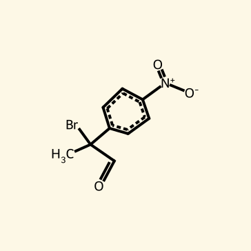 CC(Br)(C=O)c1ccc([N+](=O)[O-])cc1